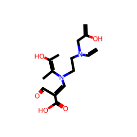 C=CN(CCN(/C=C(\C=O)C(=O)O)/C(C)=C(\C)O)CC(=C)O